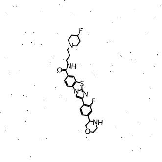 O=C(NCCCN1CCC(F)CC1)c1ccc2c(c1)sc1nc(-c3ccc(C4COCCN4)cc3F)cn12